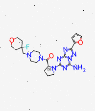 Nc1nc(N2CCC[C@H]2C(=O)N2CCN(CC3(F)CCOCC3)CC2)nc2nc(-c3ccco3)nn12